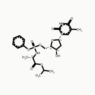 Cc1cn([C@@H]2C[C@@H](O)[C@H](COP(=O)(N[C@@H](C)C(=O)OC(C)C)Oc3ccccc3)O2)c(=O)[nH]c1=O